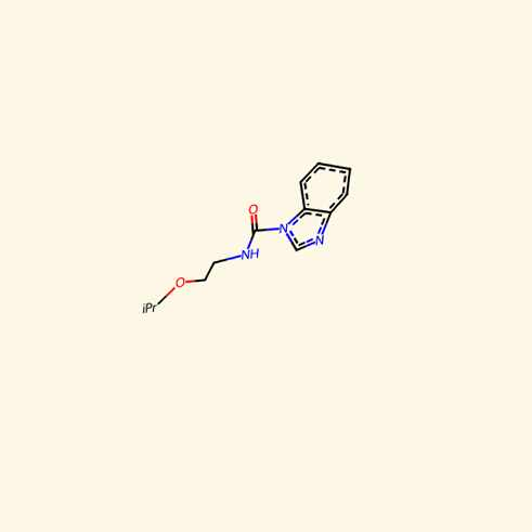 CC(C)OCCNC(=O)n1cnc2ccccc21